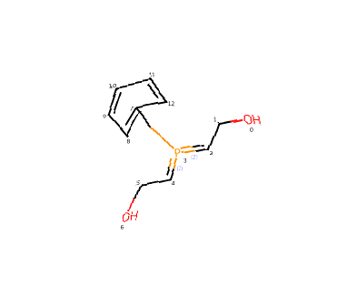 OC/C=P(=C\CO)\c1ccccc1